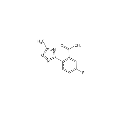 CC(=O)c1cc(F)ccc1-c1noc(C)n1